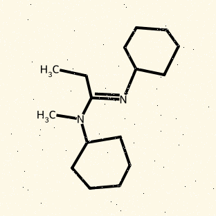 CC/C(=N\C1CCCCC1)N(C)C1CCCCC1